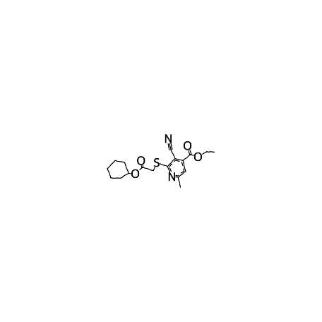 CCOC(=O)c1cc(C)nc(SCC(=O)OC2CCCCC2)c1C#N